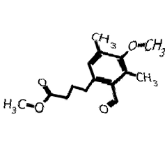 COC(=O)CCCc1cc(C)c(OC)c(C)c1C=O